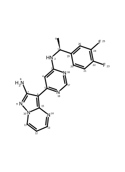 C[C@H](Nc1cc(-c2c(N)nn3cccnc23)ncn1)c1ccc(F)c(F)c1